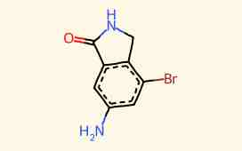 Nc1cc(Br)c2c(c1)C(=O)NC2